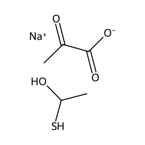 CC(=O)C(=O)[O-].CC(O)S.[Na+]